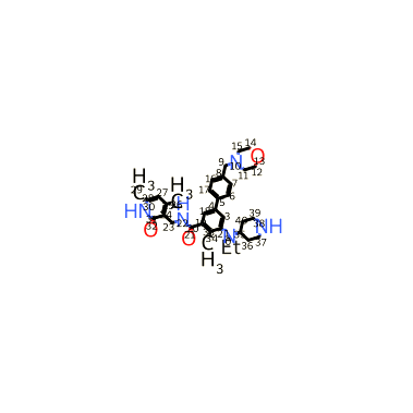 CCN(c1cc(-c2ccc(CN3CCOCC3)cc2)cc(C(=O)NCc2c(C)cc(C)[nH]c2=O)c1C)C1CCNCC1